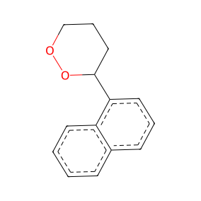 c1ccc2c(C3CCCOO3)cccc2c1